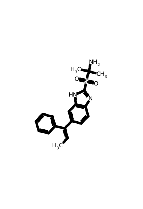 C/C=C(\c1ccccc1)c1ccc2nc(S(=O)(=O)C(C)(C)N)[nH]c2c1